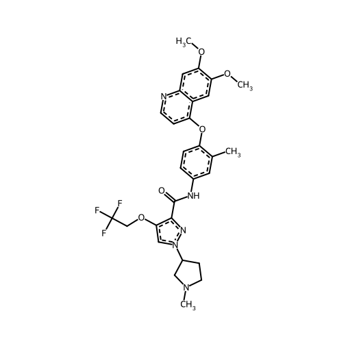 COc1cc2nccc(Oc3ccc(NC(=O)c4nn(C5CCN(C)C5)cc4OCC(F)(F)F)cc3C)c2cc1OC